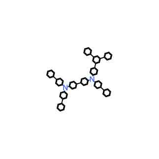 c1ccc(-c2ccc(N(c3ccc(-c4ccccc4)cc3)c3ccc(-c4ccc(N(c5ccc(-c6ccccc6)cc5)c5ccc(-c6cc(-c7ccccc7)cc(-c7ccccc7)c6)cc5)cc4)cc3)cc2)cc1